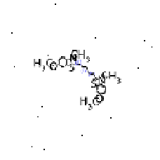 COc1ccc2c(c1)S\C(=C/C=C/C=C/c1sc3cc(OC)ccc3[n+]1C)N2C